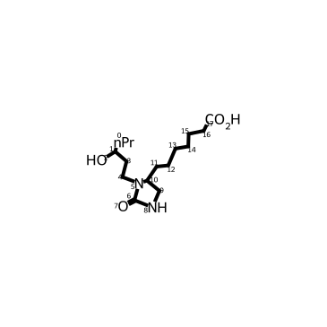 CCCC(O)CCN1C(=O)NCC1CCCCCCC(=O)O